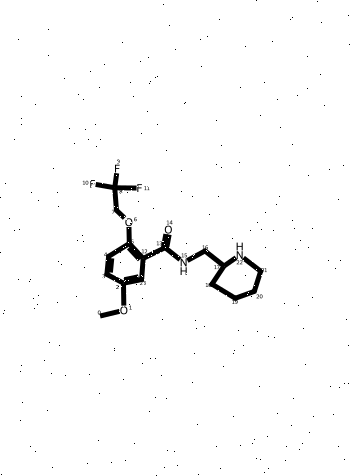 COc1ccc(OCC(F)(F)F)c(C(=O)NCC2CCCCN2)c1